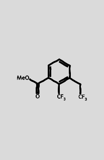 COC(=O)c1cccc(CC(F)(F)F)c1C(F)(F)F